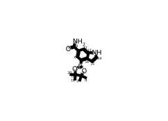 CC1(C)OB(c2cc(C(N)=O)cc3[nH]ccc23)OC1(C)C